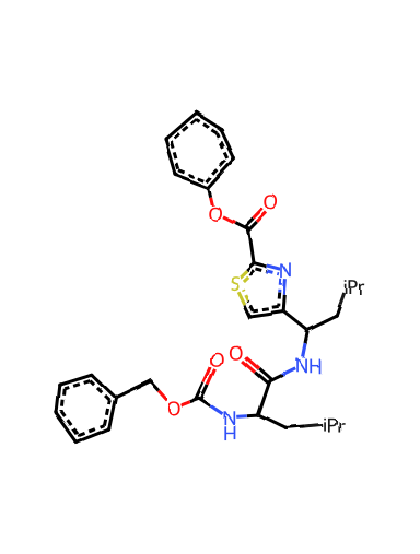 CC(C)CC(NC(=O)OCc1ccccc1)C(=O)NC(CC(C)C)c1csc(C(=O)Oc2ccccc2)n1